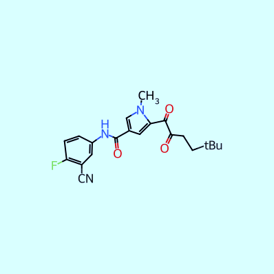 Cn1cc(C(=O)Nc2ccc(F)c(C#N)c2)cc1C(=O)C(=O)CCC(C)(C)C